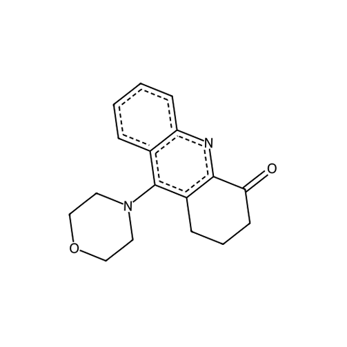 O=C1CCCc2c1nc1ccccc1c2N1CCOCC1